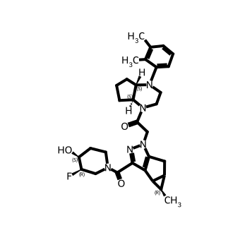 Cc1cccc(N2CCN(C(=O)Cn3nc(C(=O)N4CC[C@H](O)[C@H](F)C4)c4c3CC3C4[C@@H]3C)[C@H]3CCC[C@@H]32)c1C